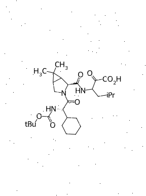 CC(C)CC(NC(=O)[C@@H]1C2C(CN1C(=O)[C@@H](NC(=O)OC(C)(C)C)C1CCCCC1)C2(C)C)C(=O)C(=O)O